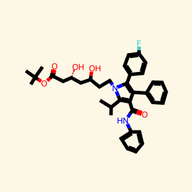 CC(C)c1c(C(=O)Nc2ccccc2)c(-c2ccccc2)c(-c2ccc(F)cc2)n1CCC(O)C[C@@H](O)CC(=O)OC(C)(C)C